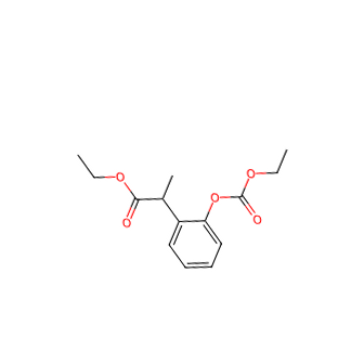 CCOC(=O)Oc1ccccc1C(C)C(=O)OCC